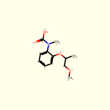 COCC(C)Oc1ccccc1N(C)C(=O)O